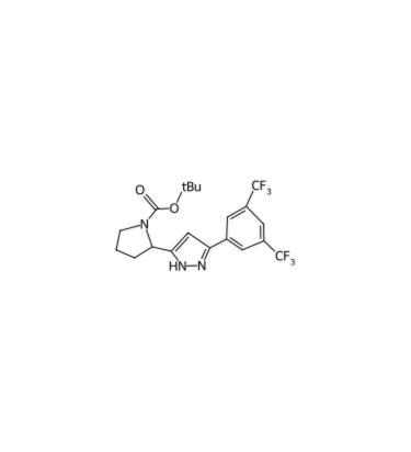 CC(C)(C)OC(=O)N1CCCC1c1cc(-c2cc(C(F)(F)F)cc(C(F)(F)F)c2)n[nH]1